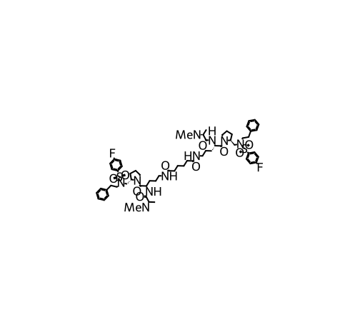 CN[C@@H](C)C(=O)NC(CCCNC(=O)CCCCC(=O)NCCC[C@H](NC(=O)[C@H](C)NC)C(=O)N1CCC[C@H]1CN(CCc1ccccc1)S(=O)(=O)c1ccc(F)cc1)C(=O)N1CCC[C@H]1CN(CCc1ccccc1)S(=O)(=O)c1ccc(F)cc1